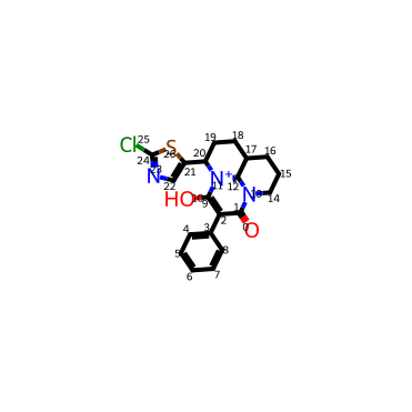 O=c1c(-c2ccccc2)c(O)[n+]2c3n1CCCC3CCC2c1cnc(Cl)s1